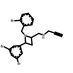 C#CCNCC1CC(c2cc(Br)cc(Br)c2)N1Cc1ccccc1Br